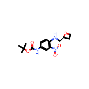 CC(C)(C)OC(=O)Nc1ccc(NC[C@@H]2CCO2)c([N+](=O)[O-])c1